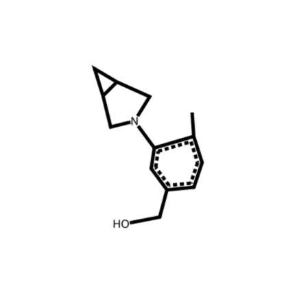 Cc1ccc(CO)cc1N1CC2CC2C1